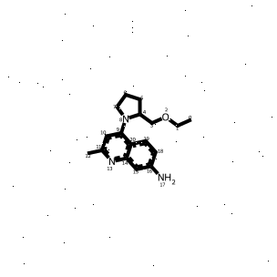 CCOCC1CCCN1c1cc(C)nc2cc(N)ccc12